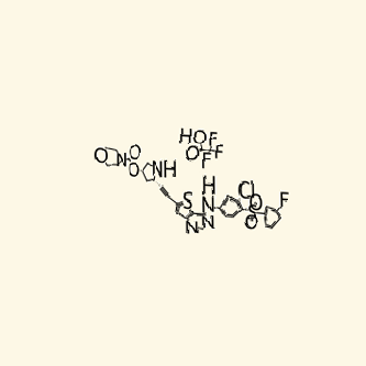 O=C(O)C(F)(F)F.O=C(O[C@@H]1CN[C@H](C#Cc2cc3ncnc(Nc4ccc(S(=O)(=O)c5cccc(F)c5)c(Cl)c4)c3s2)C1)N1CCOCC1